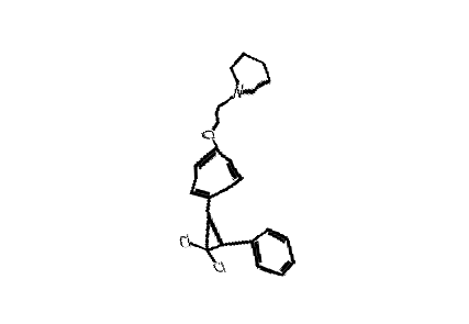 ClC1(Cl)C(c2ccccc2)C1c1ccc(OCCN2CCCCC2)cc1